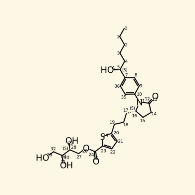 CCCCC[C@H](O)c1ccc(N2C(=O)CC[C@@H]2CCCc2ccc(C(=O)OC[C@H](O)[C@@H](O)CO)s2)cc1